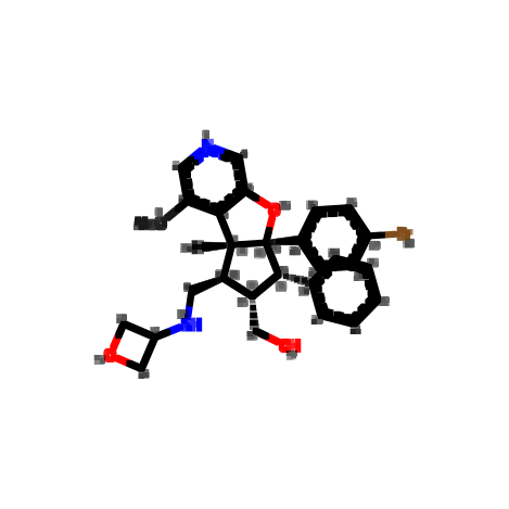 COc1cncc2c1[C@H]1[C@H](CNC3COC3)[C@@H](CO)[C@@H](c3ccccc3)[C@@]1(c1ccc(Br)cc1)O2